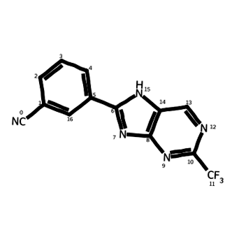 N#Cc1cccc(-c2nc3nc(C(F)(F)F)ncc3[nH]2)c1